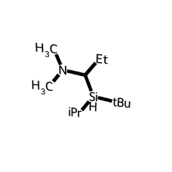 CCC(N(C)C)[SiH](C(C)C)C(C)(C)C